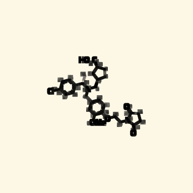 COc1cc(CN(C[C@@H]2CC[C@H](C(=O)O)C2)[C@@H](C)c2ccc(Cl)cc2)ccc1OCCN1C(=O)CCC1=O